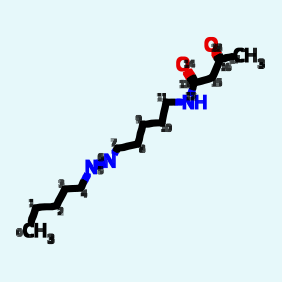 CCCCCN=NCCCCCNC(=O)CC(C)=O